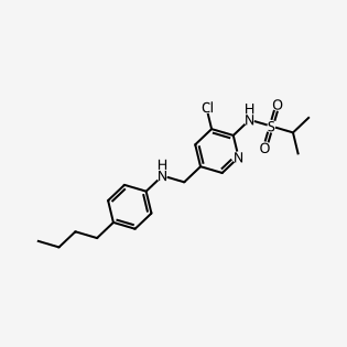 CCCCc1ccc(NCc2cnc(NS(=O)(=O)C(C)C)c(Cl)c2)cc1